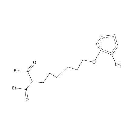 CCC(=O)C(CCCCCCOc1ccccc1C(F)(F)F)C(=O)CC